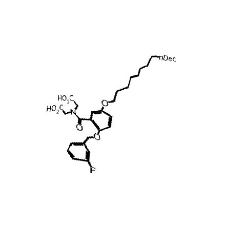 CCCCCCCCCCCCCCCCCCOc1ccc(OCc2cccc(F)c2)c(C(=O)N(CC(=O)O)CC(=O)O)c1